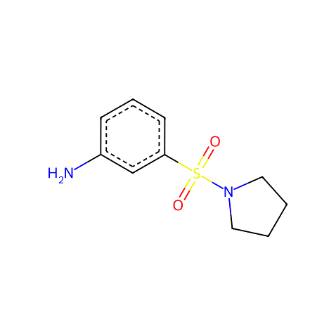 Nc1cccc(S(=O)(=O)N2CCCC2)c1